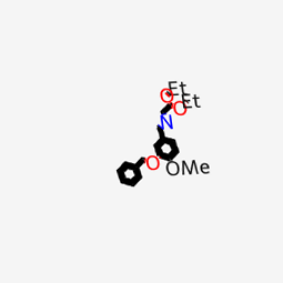 CCOC(CN=Cc1ccc(OC)c(OCc2ccccc2)c1)OCC